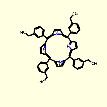 N#CCc1cccc(-c2c3nc(c(-c4cccc(CC#N)c4)c4ccc([nH]4)c(-c4cccc(CC#N)c4)c4nc(c(-c5cccc(CC#N)c5)c5ccc2[nH]5)C=C4)C=C3)c1